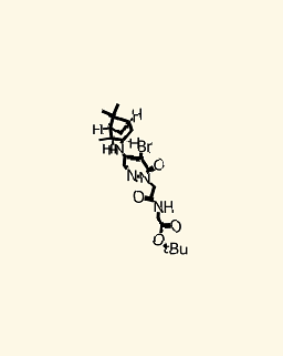 C[C@@H]1[C@H]2C[C@@H](C[C@H]1Nc1cnn(CC(=O)NCC(=O)OC(C)(C)C)c(=O)c1Br)C2(C)C